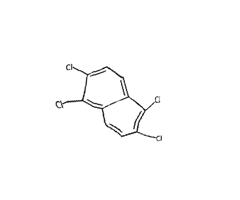 Clc1ccc2c(Cl)c(Cl)ccc2c1Cl